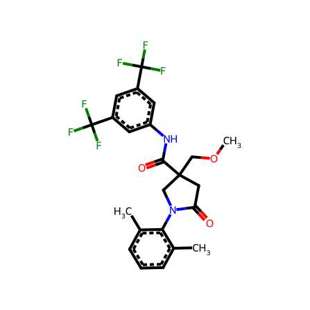 COCC1(C(=O)Nc2cc(C(F)(F)F)cc(C(F)(F)F)c2)CC(=O)N(c2c(C)cccc2C)C1